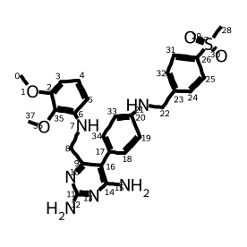 COc1cccc(NCc2nc(N)nc(N)c2-c2ccc(NCc3ccc(S(C)(=O)=O)cc3)cc2)c1OC